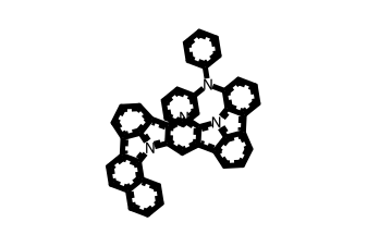 c1ccc(N(c2ccccc2)c2cccc3c4cccc5c6cc7c(nc6n(c23)c54)c2cccc3c4ccc5ccccc5c4n7c32)cc1